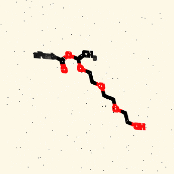 CCCCCC(=O)OC(C)OCCOCCOCCO